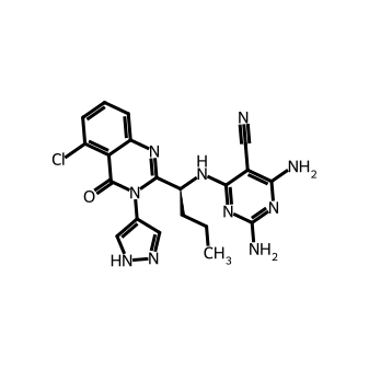 CCC[C@H](Nc1nc(N)nc(N)c1C#N)c1nc2cccc(Cl)c2c(=O)n1-c1cn[nH]c1